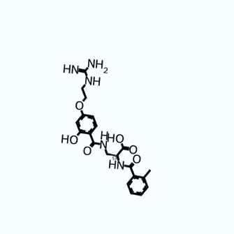 Cc1ccccc1C(=O)N[C@@H](CNC(=O)c1ccc(OCCNC(=N)N)cc1O)C(=O)O